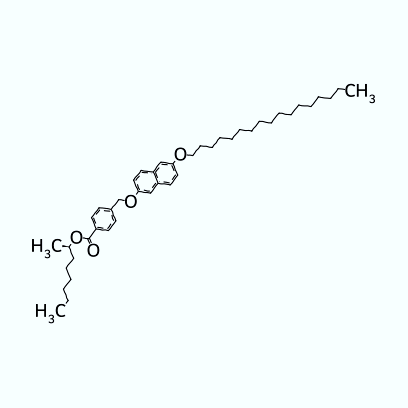 CCCCCCCCCCCCCCCCCOc1ccc2cc(OCc3ccc(C(=O)O[C@H](C)CCCCCC)cc3)ccc2c1